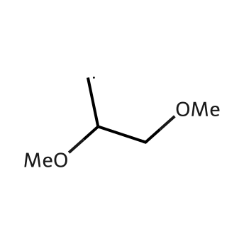 [CH2]C(COC)OC